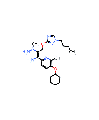 CCCCn1cnc(OC/C(=C(/N)c2ccc(OC3CCCCC3)c(C)n2)N(C)N)n1